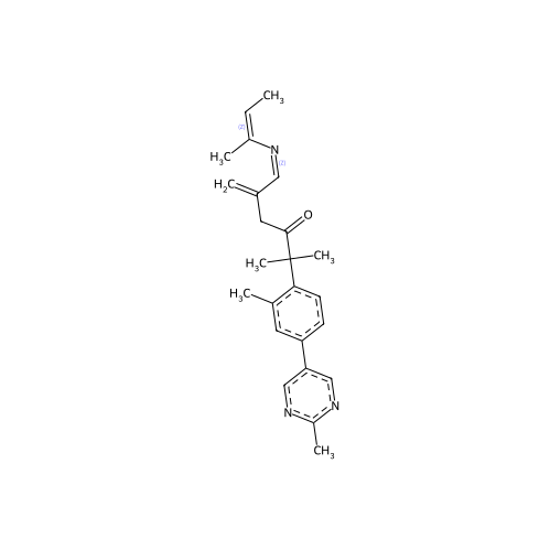 C=C(/C=N\C(C)=C/C)CC(=O)C(C)(C)c1ccc(-c2cnc(C)nc2)cc1C